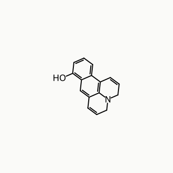 Oc1cccc2c3c4c(cc12)C=CCN4CC=C3